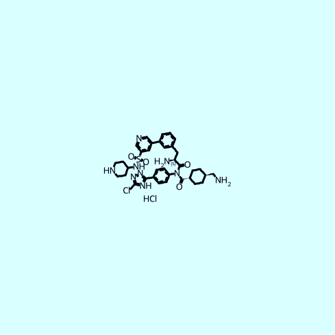 Cl.NC[C@H]1CC[C@H](C(=O)N(C(=O)[C@@H](N)Cc2cccc(-c3cncc(S(=O)(=O)NC4CCNCC4)c3)c2)c2ccc(-c3nnc(Cl)[nH]3)cc2)CC1